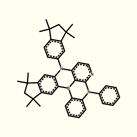 CC1(C)CC(C)(C)c2cc(N3c4cc5c(cc4B4c6ccccc6N(c6ccccc6)c6nccc3c64)C(C)(C)CC5(C)C)ccc21